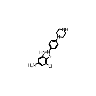 Nc1cc(Cl)c2c(c1)NN(c1ccc(N3CCNCC3)cc1)[N]2